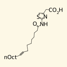 CCCCCCCCC#CCCCCCCCC(=O)Nc1nc(CC(=O)O)cs1